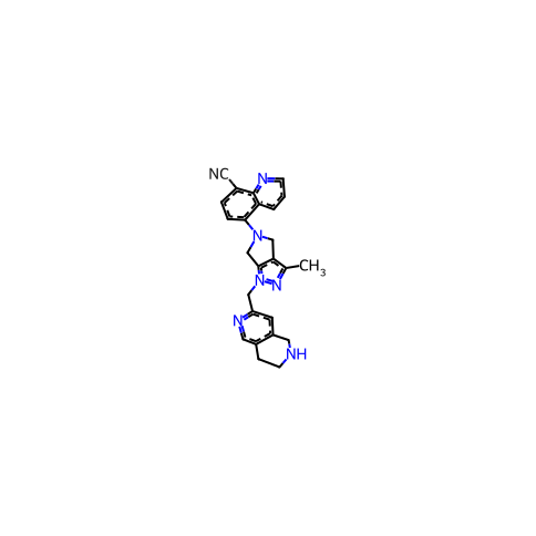 Cc1nn(Cc2cc3c(cn2)CCNC3)c2c1CN(c1ccc(C#N)c3ncccc13)C2